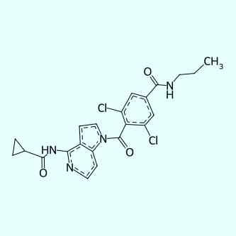 CCCNC(=O)c1cc(Cl)c(C(=O)n2ccc3c(NC(=O)C4CC4)nccc32)c(Cl)c1